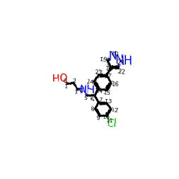 OCCCNCC(c1ccc(Cl)cc1)c1ccc(-c2cn[nH]c2)cc1